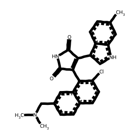 Cc1ccc2c(C3=C(c4c(Cl)ccc5ccc(CN(C)C)cc45)C(=O)NC3=O)c[nH]c2c1